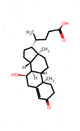 CC(CCC(=O)O)[C@H]1CC[C@H]2[C@@H]3[C@H](O)CC4=CC(=O)CC[C@]4(C)[C@H]3CC[C@]12C